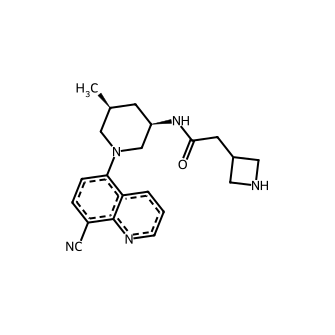 C[C@H]1C[C@@H](NC(=O)CC2CNC2)CN(c2ccc(C#N)c3ncccc23)C1